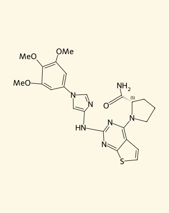 COc1cc(-n2cnc(Nc3nc(N4CCC[C@H]4C(N)=O)c4ccsc4n3)c2)cc(OC)c1OC